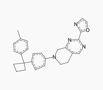 Cc1ccc(C2(c3ccc(N4CCc5cnc(-c6ncco6)nc5C4)cc3)CCC2)cc1